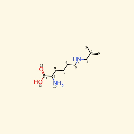 C=C(C)CNCCCCC(N)C(=O)O